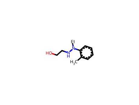 CCN(NCCO)c1ccccc1C